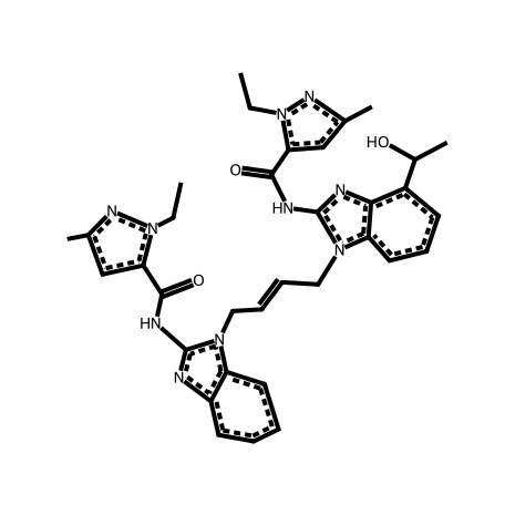 CCn1nc(C)cc1C(=O)Nc1nc2ccccc2n1C/C=C/Cn1c(NC(=O)c2cc(C)nn2CC)nc2c(C(C)O)cccc21